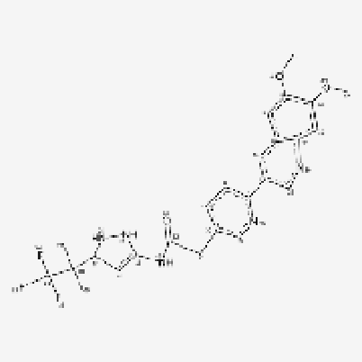 COc1cc2cc(-c3ccc(CC(=O)NC4=CC(C(C)(C)C(F)(F)F)NN4)cn3)cnc2cc1OC